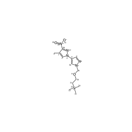 Cc1cn(-c2cnn(COCC[Si](C)(C)C)c2)nc1[N+](=O)[O-]